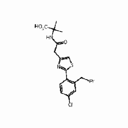 CC(C)Cc1cc(Cl)ccc1-c1nc(CC(=O)NC(C)(C)C(=O)O)cs1